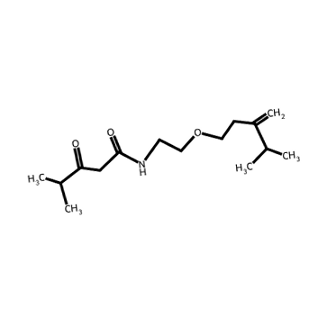 C=C(CCOCCNC(=O)CC(=O)C(C)C)C(C)C